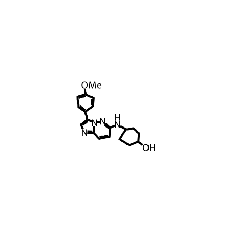 COc1ccc(-c2cnc3ccc(NC4CCC(O)CC4)nn23)cc1